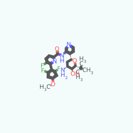 COc1cc(F)c(-c2nc(C(=O)Nc3cnccc3[C@H]3C[C@@H](N)[C@H](O)[C@@H](C(C)(C)C)O3)ccc2F)c(F)c1